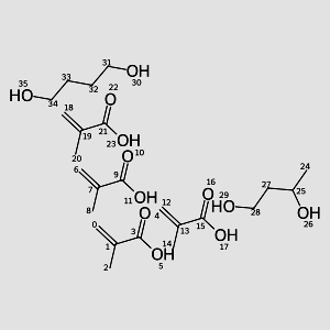 C=C(C)C(=O)O.C=C(C)C(=O)O.C=C(C)C(=O)O.C=C(C)C(=O)O.CC(O)CCO.OCCCCO